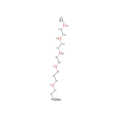 CCCCCCCCCCCCOCCCOCCOCCOCCOCC